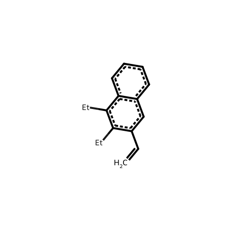 C=Cc1cc2ccccc2c(CC)c1CC